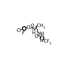 C/C=C(\CCNC(=O)c1cnc(C(F)(F)F)cn1)NC(=O)COc1ccc(Cl)c(F)c1